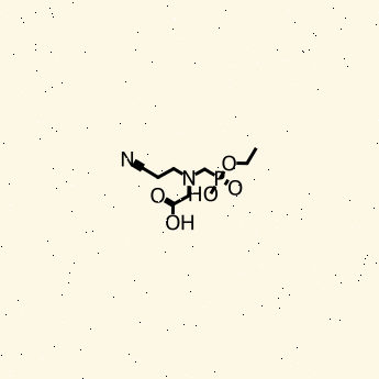 CCOP(=O)(O)CN(CCC#N)CC(=O)O